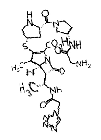 C[C@@H](NC(=O)Cn1cnnn1)[C@H]1C(=O)N2C(C(=O)O)=C(S[C@@H]3CN[C@H](C(=O)N4CC[C@H](NC(=O)CN)C4)C3)[C@H](C)[C@H]12